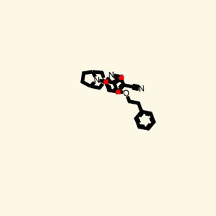 N#Cc1ccc(N2C3CCC2CN(C(=O)COCCc2ccccc2)C3)nc1